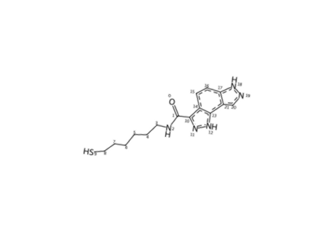 O=C(NCCCCCCS)c1n[nH]c2c1ccc1[nH]ncc12